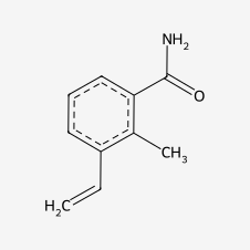 C=Cc1cccc(C(N)=O)c1C